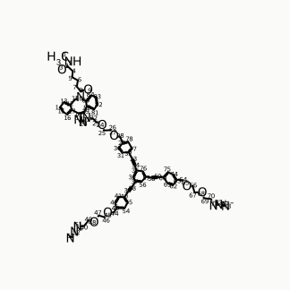 CNC(=O)CCCCC(=O)N1Cc2ccccc2-c2nnn(CCOCCOCc3ccc(C#Cc4cc(C#Cc5ccc(COCCOCCN=[N+]=[N-])cc5)cc(C#Cc5ccc(COCCOCCN=[N+]=[N-])cc5)c4)cc3)c2-c2ccccc21